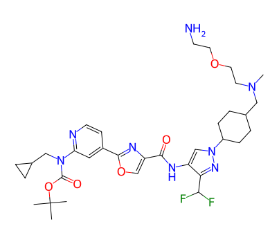 CN(CCOCCN)CC1CCC(n2cc(NC(=O)c3coc(-c4ccnc(N(CC5CC5)C(=O)OC(C)(C)C)c4)n3)c(C(F)F)n2)CC1